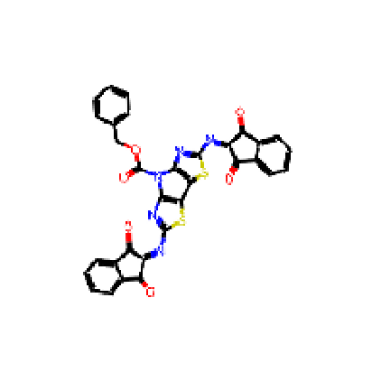 O=C(OCc1ccccc1)n1c2nc(N=c3c(=O)c4ccccc4c3=O)sc2c2sc(N=c3c(=O)c4ccccc4c3=O)nc21